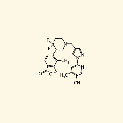 Cc1cc(-n2cc(CN3CCC(F)(F)C(c4ccc5c(c4C)COC5=O)C3)cn2)ncc1C#N